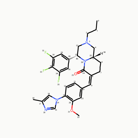 CCCN1C[C@@H]2CCC(=Cc3ccc(-n4cnc(C)c4)c(OC)c3)C(=O)N2[C@H](c2cc(F)c(F)c(F)c2)C1